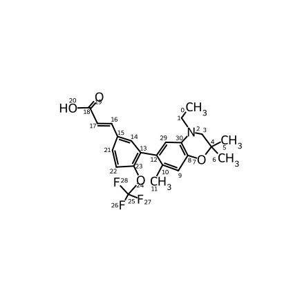 CCN1CC(C)(C)Oc2cc(C)c(-c3cc(/C=C/C(=O)O)ccc3OC(F)(F)F)cc21